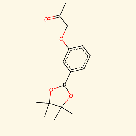 CC(=O)COc1cccc(B2OC(C)(C)C(C)(C)O2)c1